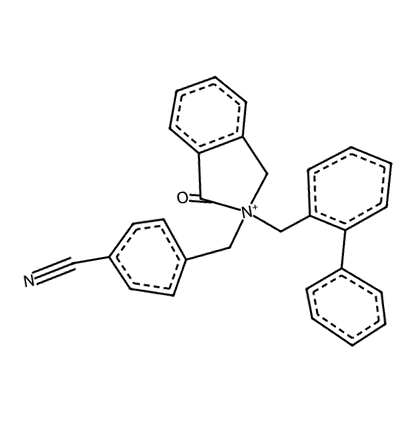 N#Cc1ccc(C[N+]2(Cc3ccccc3-c3ccccc3)Cc3ccccc3C2=O)cc1